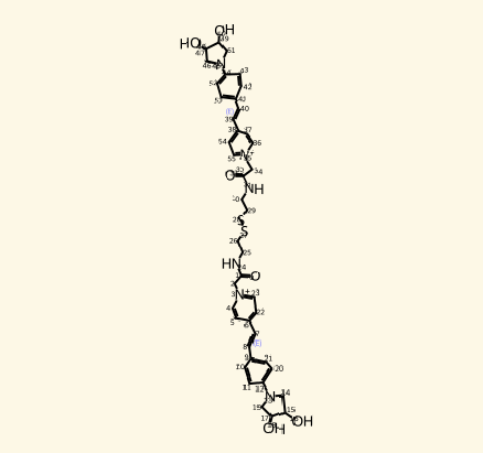 O=C(C[n+]1ccc(/C=C/c2ccc(N3CC(O)C(O)C3)cc2)cc1)NCCSSCCNC(=O)C[n+]1ccc(/C=C/c2ccc(N3CC(O)C(O)C3)cc2)cc1